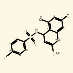 O=C(O)C1=CC(NS(=O)(=O)c2ccc(F)cc2)c2c(Cl)cc(Cl)cc2N1